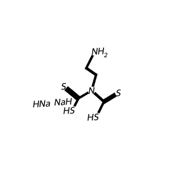 NCCN(C(=S)S)C(=S)S.[NaH].[NaH]